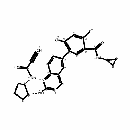 C#CC(=O)N[C@H]1CCC[C@H]1Nc1ncc2cc(-c3cc(C(=O)NC4CC4)c(F)cc3Cl)ccc2n1